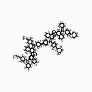 CC(C)c1ccc(N(c2ccccc2)c2cc3c(oc4cc(N(c5ccc(-c6ccc(N(c7ccc(C8CCCCC8)cc7)c7cc8c(oc9cc(N(c%10ccccc%10)c%10ccc(C%11CCCCC%11)cc%10)c%10ccccc%10c98)c8ccccc78)cc6)cc5)c5ccc(C(C)C)cc5)c5ccccc5c43)c3ccccc23)cc1